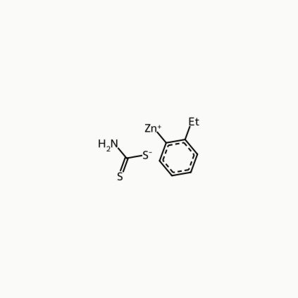 CCc1cccc[c]1[Zn+].NC(=S)[S-]